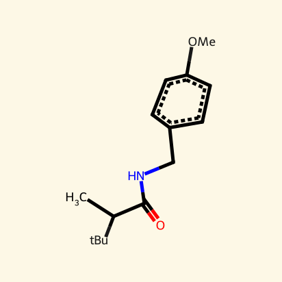 COc1ccc(CNC(=O)C(C)C(C)(C)C)cc1